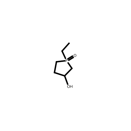 CCP1(=O)CCC(O)C1